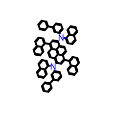 c1ccc(-c2cccc(N(c3cccc4ccccc34)c3cc(-c4cccc5ccccc45)c4ccc5c(N(c6cccc(-c7ccccc7)c6)c6cccc7ccccc67)cc(-c6cccc7ccccc67)c6ccc3c4c65)c2)cc1